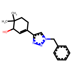 CC1(C)CCC(c2cn(Cc3ccccc3)nn2)=CC1O